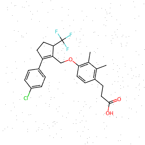 Cc1c(CCC(=O)O)ccc(OCC2=C(c3ccc(Cl)cc3)CCC2C(F)(F)F)c1C